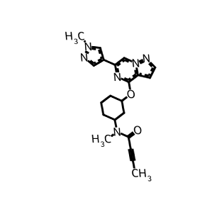 CC#CC(=O)N(C)C1CCCC(Oc2nc(-c3cnn(C)c3)cn3nccc23)C1